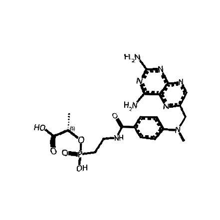 C[C@H](OP(=O)(O)CCNC(=O)c1ccc(N(C)Cc2cnc3nc(N)nc(N)c3n2)cc1)C(=O)O